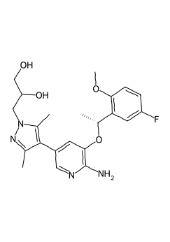 COc1ccc(F)cc1[C@@H](C)Oc1cc(-c2c(C)nn(CC(O)CO)c2C)cnc1N